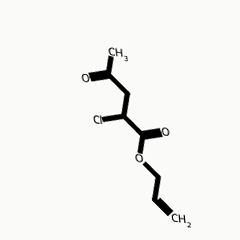 C=CCOC(=O)C(Cl)CC(C)=O